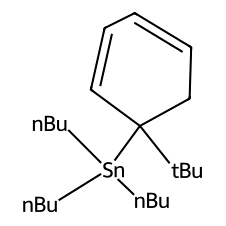 CCC[CH2][Sn]([CH2]CCC)([CH2]CCC)[C]1(C(C)(C)C)C=CC=CC1